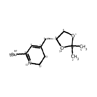 CC1(C)OC[C@@H](CC2=CC(C(C)(C)C)=NCC2)O1